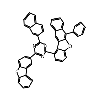 c1ccc(-c2c3ccccc3cc3c2oc2cccc(-c4nc(-c5ccc6ccccc6c5)nc(-c5ccc6sc7ccccc7c6c5)n4)c23)cc1